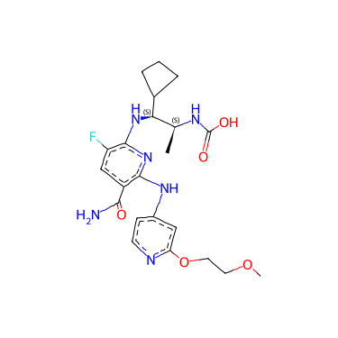 COCCOc1cc(Nc2nc(N[C@@H](C3CCC3)[C@H](C)NC(=O)O)c(F)cc2C(N)=O)ccn1